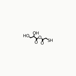 O=C(CS)OC(=O)C(O)CO